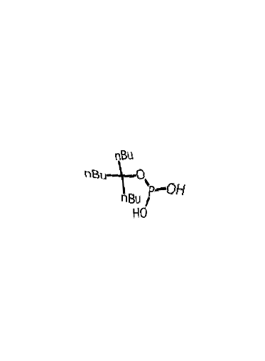 CCCCC(CCCC)(CCCC)OP(O)O